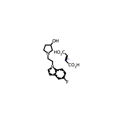 O=C(O)/C=C/C(=O)O.OC1CCN(CCn2ccc3cc(F)ccc32)C1